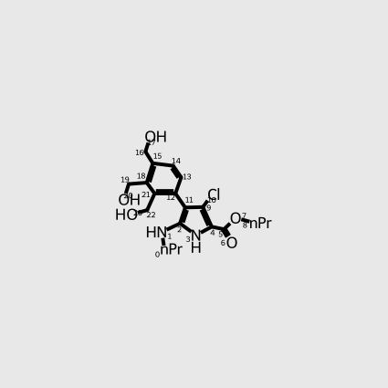 CCCNc1[nH]c(C(=O)OCCC)c(Cl)c1-c1ccc(CO)c(CO)c1CO